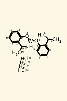 CC(C)c1ccccc1[O][W][O]c1ccccc1C(C)C.Cl.Cl.Cl.Cl